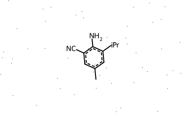 Cc1cc(C#N)c(N)c(C(C)C)c1